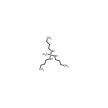 CCCCN[Si](C)(NCCCC)NCCCC